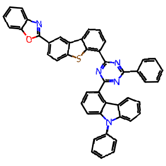 c1ccc(-c2nc(-c3cccc4c3sc3ccc(-c5nc6ccccc6o5)cc34)nc(-c3cccc4c3c3ccccc3n4-c3ccccc3)n2)cc1